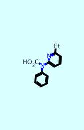 CCc1cccc(N(C(=O)O)c2ccccc2)n1